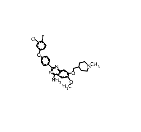 COc1cc2c(N)nc(-c3ccc(Oc4ccc(F)c(Cl)c4)cc3)nc2cc1OCC1CCN(C)CC1